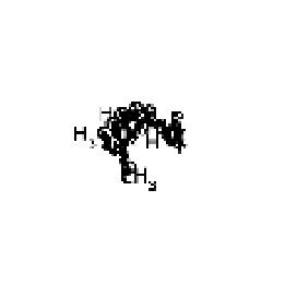 COCCN1CCC(C)N2C(=O)c3c(O)c(=O)c(C(=O)NCc4ccc(F)cc4F)cn3CC12